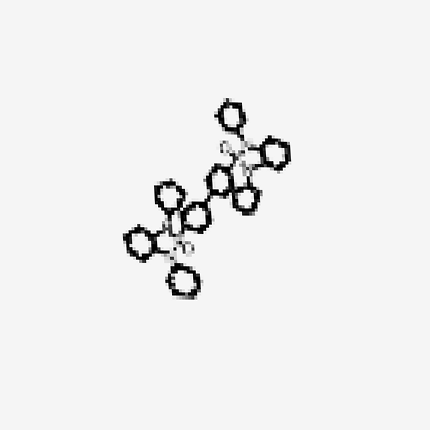 O=P1(c2ccc(-c3ccc(P4(=O)N(c5ccccc5)c5ccccc5N4c4ccccc4)cc3)cc2)N(c2ccccc2)c2ccccc2N1c1ccccc1